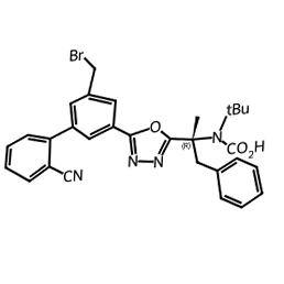 CC(C)(C)N(C(=O)O)[C@](C)(Cc1ccccc1)c1nnc(-c2cc(CBr)cc(-c3ccccc3C#N)c2)o1